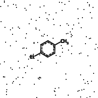 C[CH]c1ccc(C)cc1